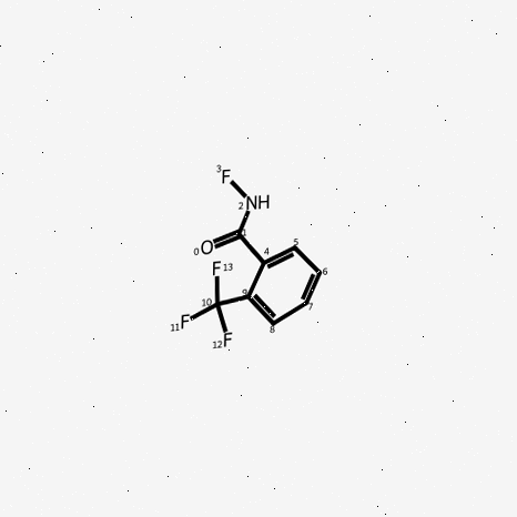 O=C(NF)c1ccccc1C(F)(F)F